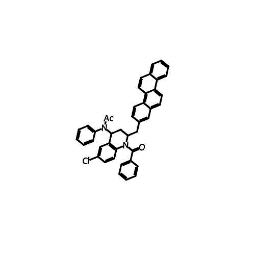 CC(=O)N(c1ccccc1)C1CC(Cc2ccc3c(ccc4c5ccccc5ccc34)c2)N(C(=O)c2ccccc2)c2ccc(Cl)cc21